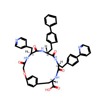 O=C1COc2ccc(cc2)C[C@@H](C(=O)O)NC(=O)[C@H](Cc2ccc(-c3ccccn3)cc2)NC(=O)[C@@H](Cc2ccc(-c3ccccc3)cc2)NC(=O)[C@H](Cc2ccncc2)N1